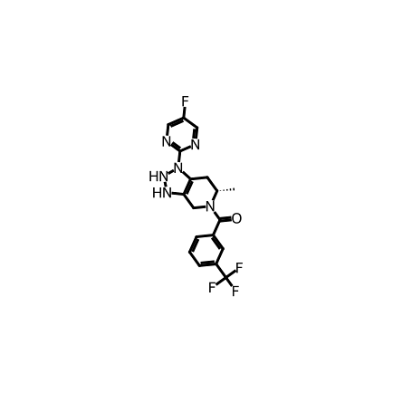 C[C@H]1CC2=C(CN1C(=O)c1cccc(C(F)(F)F)c1)NNN2c1ncc(F)cn1